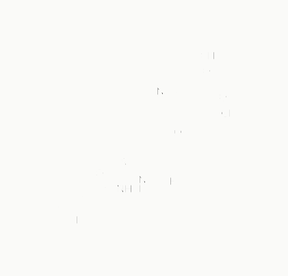 COc1cc2nccc(Oc3ccc(NC(=S)NC(=O)Cc4cccc(F)c4F)c(F)c3)c2cc1OC